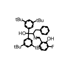 CC(C)(C)c1cc(C(C)(C)C)cc(C(O)(c2cc(C(C)(C)C)cc(C(C)(C)C)c2)C(Cc2ccccc2)N=Cc2cccc(F)c2O)c1